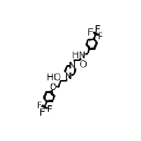 O=C(CN1CCN(CC(O)COc2ccc(C(F)(F)F)cc2)CC1)NCc1ccc(C(F)(F)F)cc1